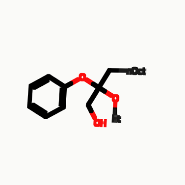 CCCCCCCCCC(CO)(OCC)Oc1ccccc1